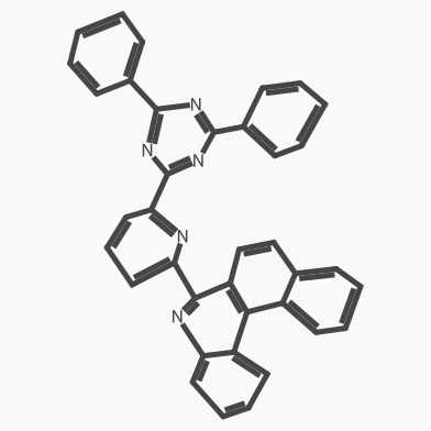 c1ccc(-c2nc(-c3ccccc3)nc(-c3cccc(-c4nc5ccccc5c5c4ccc4ccccc45)n3)n2)cc1